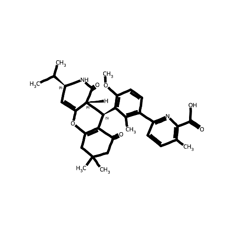 COc1ccc(-c2ccc(C)c(C(=O)O)n2)c(C)c1[C@H]1C2=C(CC(C)(C)CC2=O)OC2=C[C@@H](C(C)C)NC(=O)[C@@H]21